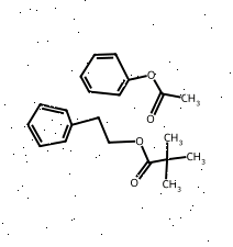 CC(=O)Oc1ccccc1.CC(C)(C)C(=O)OCCc1ccccc1